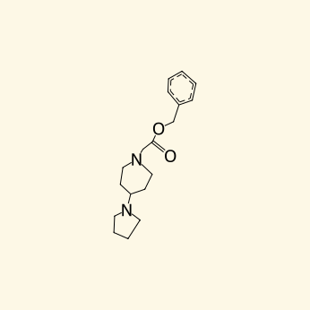 O=C(CN1CCC(N2CCCC2)CC1)OCc1ccccc1